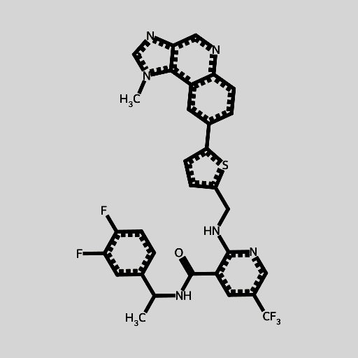 CC(NC(=O)c1cc(C(F)(F)F)cnc1NCc1ccc(-c2ccc3ncc4ncn(C)c4c3c2)s1)c1ccc(F)c(F)c1